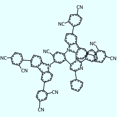 N#Cc1ccc(-c2ccc3c(c2)c2cc(-c4ccc(C#N)cc4C#N)ccc2n3-c2cc(-c3cc(-c4ccccc4)nc(-c4ccccc4)n3)c(-n3c4ccc(-c5ccc(C#N)cc5C#N)cc4c4cc(-c5ccc(C#N)cc5C#N)ccc43)cc2C#N)c(C#N)c1